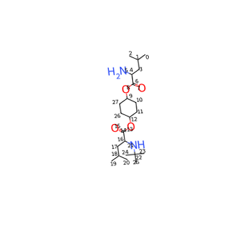 CC(C)CC(N)C(=O)OC1CCC(OC(=O)C(CC(C)C)NC(C)(C)C)CC1